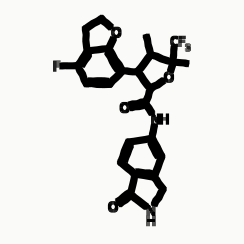 CC1C(c2ccc(F)c3c2OCC3)C(C(=O)Nc2ccc3c(c2)CNC3=O)OC1(C)C(F)(F)F